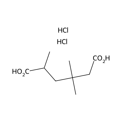 CC(CC(C)(C)CC(=O)O)C(=O)O.Cl.Cl